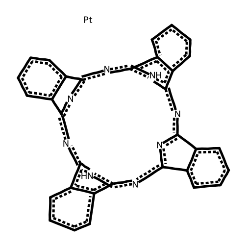 [Pt].c1ccc2c(c1)-c1nc-2nc2[nH]c(nc3nc(nc4[nH]c(n1)c1ccccc41)-c1ccccc1-3)c1ccccc21